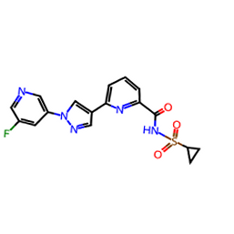 O=C(NS(=O)(=O)C1CC1)c1cccc(-c2cnn(-c3cncc(F)c3)c2)n1